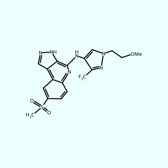 COCCn1cc(Nc2nc3ccc(S(C)(=O)=O)cc3c3cn[nH]c23)c(C(F)(F)F)n1